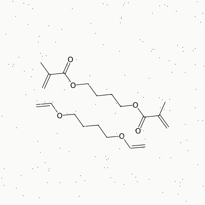 C=C(C)C(=O)OCCCCOC(=O)C(=C)C.C=COCCCCOC=C